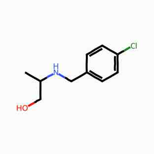 CC(CO)NCc1ccc(Cl)cc1